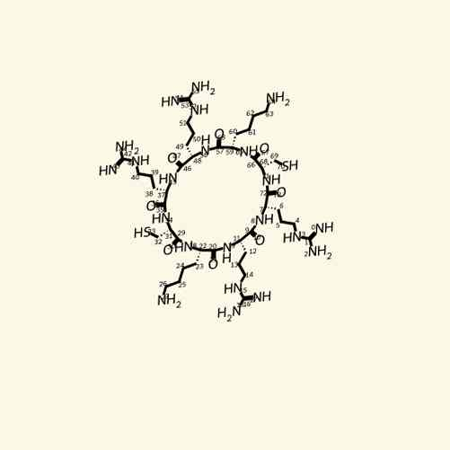 N=C(N)NCCC[C@@H]1NC(=O)[C@H](CCCNC(=N)N)NC(=O)[C@H](CCCCN)NC(=O)[C@H](CS)NC(=O)[C@H](CCCNC(=N)N)NC(=O)[C@H](CCCNC(=N)N)NC(=O)[C@H](CCCCN)NC(=O)[C@H](CS)NC1=O